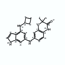 CC1(C)Oc2cc(Nc3nc(NC4CCC4)c4cc[nH]c4n3)ccc2NC1=O